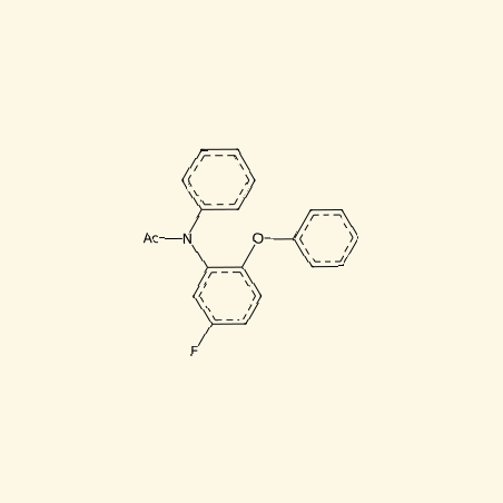 CC(=O)N(c1ccccc1)c1cc(F)ccc1Oc1ccccc1